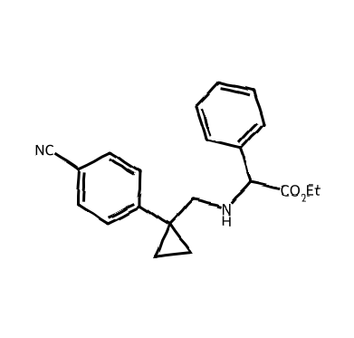 CCOC(=O)C(NCC1(c2ccc(C#N)cc2)CC1)c1ccccc1